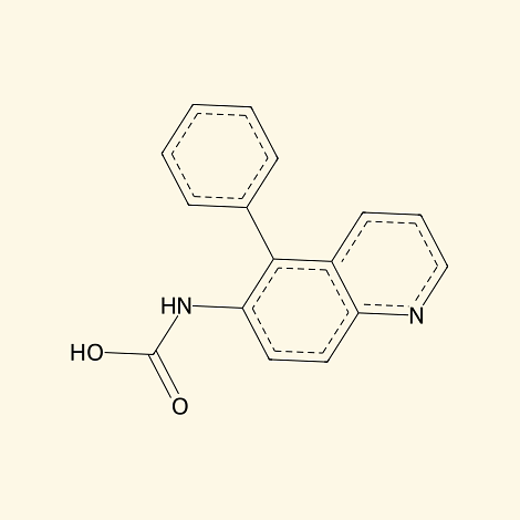 O=C(O)Nc1ccc2ncccc2c1-c1ccccc1